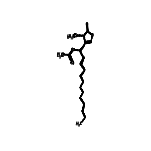 CCCCCCCCCCCCC(OC(C)=O)C1=COC(=O)C1C